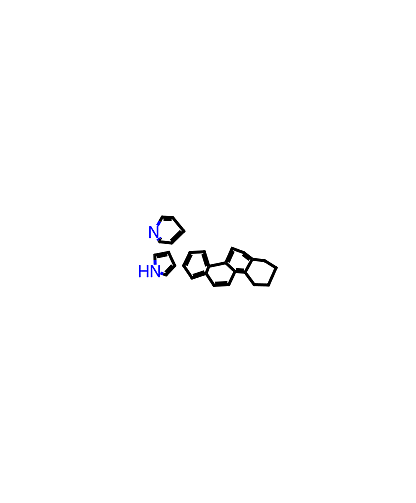 c1cc[nH]c1.c1ccc2c(c1)ccc1c3c(ccc12)CCCC3.c1ccncc1